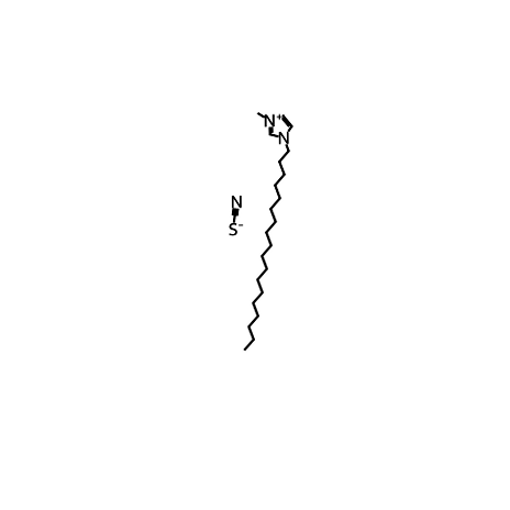 CCCCCCCCCCCCCCCCCCn1cc[n+](C)c1.N#C[S-]